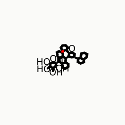 Oc1c(O)c(O)c(-c2c3ccccc3c(-c3cc(-c4cccc5ccccc45)cc4oc5ccccc5c34)c3ccccc23)c(O)c1O